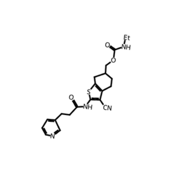 CCNC(=O)OCC1CCc2c(sc(NC(=O)CCc3cccnc3)c2C#N)C1